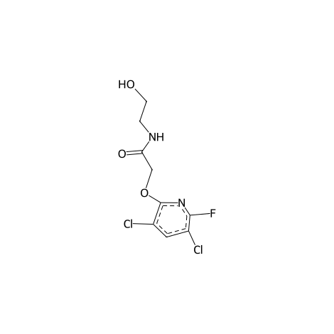 O=C(COc1nc(F)c(Cl)cc1Cl)NCCO